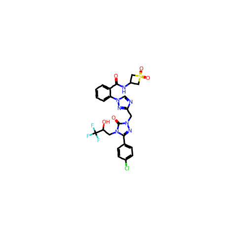 O=C(NC1CS(=O)(=O)C1)c1ccccc1-n1cnc(Cn2nc(-c3ccc(Cl)cc3)n(CC(O)C(F)(F)F)c2=O)n1